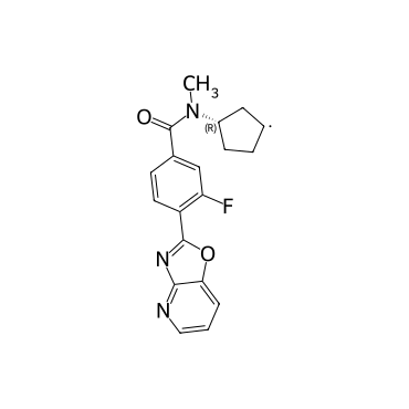 CN(C(=O)c1ccc(-c2nc3ncccc3o2)c(F)c1)[C@@H]1C[CH]CC1